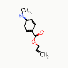 C=CCOC(=O)C1=CCC(=NC)C=C1